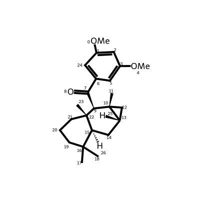 COc1cc(OC)cc(C(=O)[C@H]2[C@]3(C)C[C@@H]3C[C@H]3C(C)(C)CCC[C@]23C)c1